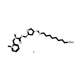 CCCCCCCCCCCCCCCCCCOC[C@H]1CO[C@H](COC(=O)N(C)Cc2cccc[n+]2C)C1.[I-]